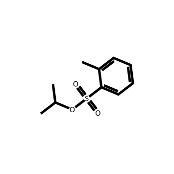 Cc1ccccc1S(=O)(=O)OC(C)C